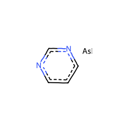 [As].c1cncnc1